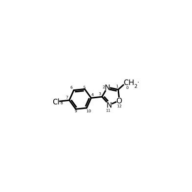 [CH2]c1nc(-c2ccc(Cl)cc2)no1